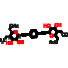 CC(=O)OCC1OC(C#Cc2ccc(C#C[C@H]3O[C@@H](COC(C)=O)[C@@H](CC(=O)O)[C@@H](O)[C@@H]3O)cc2)C(O)C(O)C1CC(=O)O